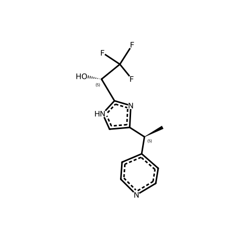 C[C@@H](c1ccncc1)c1c[nH]c([C@H](O)C(F)(F)F)n1